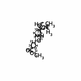 C[C@H]1Cc2cc([C@@H]3CN4CCN(C(=O)OC(C)(C)C)C[C@H]4CO3)ccc2C(=O)O1